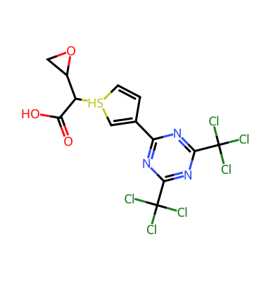 O=C(O)C(C1CO1)[SH]1C=CC(c2nc(C(Cl)(Cl)Cl)nc(C(Cl)(Cl)Cl)n2)=C1